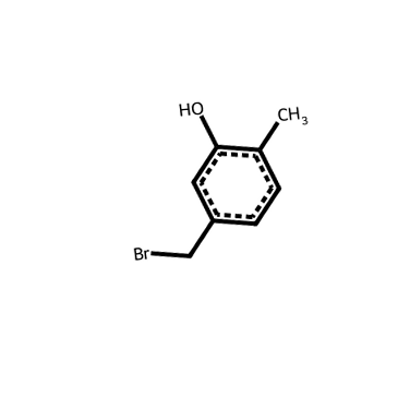 Cc1ccc(CBr)cc1O